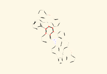 C1=CC2=C(CC1)Oc1ccccc1C21c2ccccc2-c2ccc(N(c3ccccc3-c3ccc(-c4ccccc4)cc3)c3cccc4c5c(ccc34)C3(c4ccccc4Oc4ccccc43)c3ccccc3-5)cc21